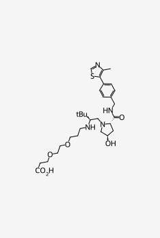 Cc1ncsc1-c1ccc(CNC(=O)[C@@H]2C[C@@H](O)CN2C[C@@H](NCCCOCCOCCC(=O)O)C(C)(C)C)cc1